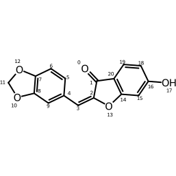 O=C1/C(=C\c2ccc3c(c2)OCO3)Oc2cc(O)ccc21